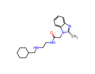 Cc1nc2ccccc2n1CC(=O)NCCNCC1CCCCC1